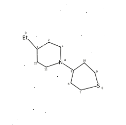 CCC1CCN(C2CCSCC2)CC1